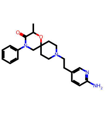 CC1OC2(CCN(CCc3ccc(N)nc3)CC2)CN(c2ccccc2)C1=O